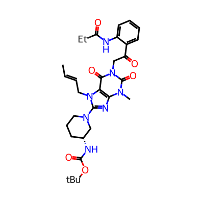 C/C=C/Cn1c(N2CCC[C@@H](NC(=O)OC(C)(C)C)C2)nc2c1c(=O)n(CC(=O)c1ccccc1NC(=O)CC)c(=O)n2C